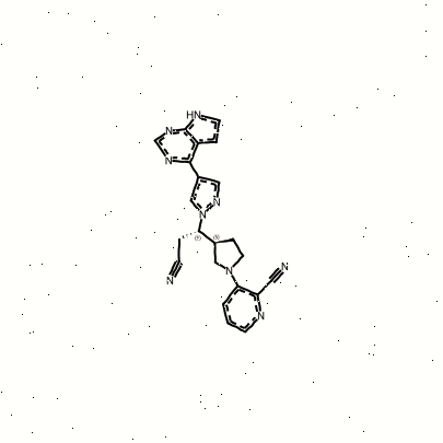 N#CC[C@@H]([C@H]1CCN(c2cccnc2C#N)C1)n1cc(-c2ncnc3[nH]ccc23)cn1